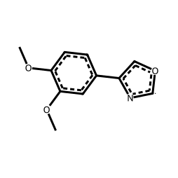 COc1ccc(-c2co[c]n2)cc1OC